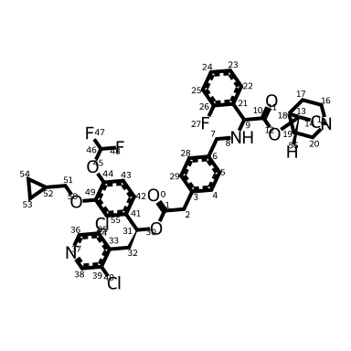 O=C(Cc1ccc(CNC(C(=O)O[C@H]2CN3CCC2CC3)c2ccccc2F)cc1)O[C@@H](Cc1c(Cl)cncc1Cl)c1ccc(OC(F)F)c(OCC2CC2)c1